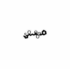 O=C(CCCC(=O)c1cccs1)C(=O)OCc1ccccc1